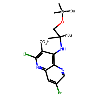 CCCCC(C)(CO[Si](C)(C)C(C)(C)C)Nc1c(C(=O)O)c(Cl)nc2cc(Br)cnc12